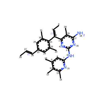 C/C=C(\c1nc(Nc2cc(C)c(C)c(C)n2)nc(N)c1C)c1c(C)cc(/C=C/C)cc1C